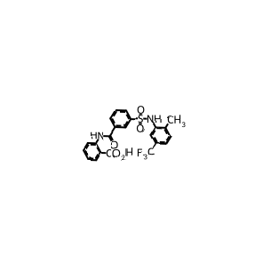 Cc1ccc(C(F)(F)F)cc1NS(=O)(=O)c1cccc(C(=O)Nc2ccccc2C(=O)O)c1